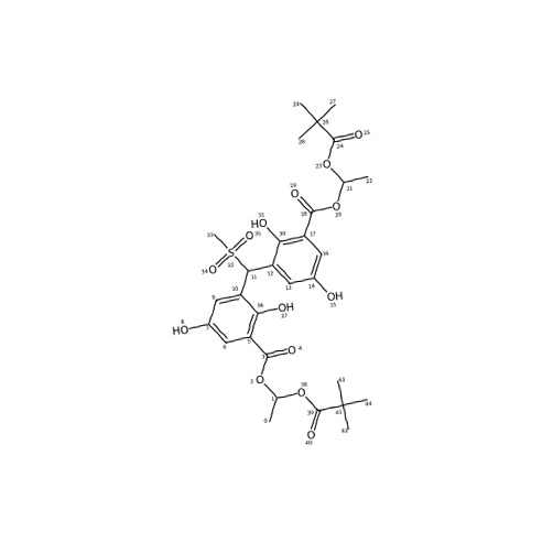 CC(OC(=O)c1cc(O)cc(C(c2cc(O)cc(C(=O)OC(C)OC(=O)C(C)(C)C)c2O)S(C)(=O)=O)c1O)OC(=O)C(C)(C)C